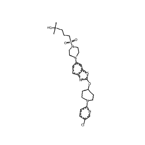 CC(C)(O)CCCS(=O)(=O)N1CCN(c2ccc3nc(OC4CCN(c5ccc(Cl)cn5)CC4)sc3c2)CC1